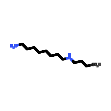 NCCCCCCCCNCCCS(=O)(=O)O